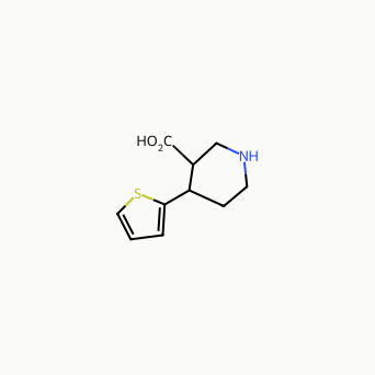 O=C(O)C1CNCCC1c1cccs1